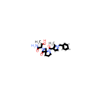 Cc1c(C(=O)N2CCCC23CN([C@H](C(N)=O)[C@@H](C)O)C3=O)ccn1Cc1ccccc1